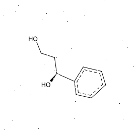 OC[CH][C@H](O)c1ccccc1